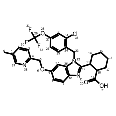 Cc1ccc(COc2ccc3nc(C4CCCCC4C(=O)O)n(Cc4ccc(OC(F)(F)F)cc4Cl)c3c2)nc1